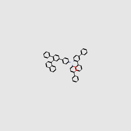 c1ccc(-c2ccc(N(c3ccc(-c4ccc(-c5ccccc5)c(-c5cccc6ccccc56)c4)cc3)c3ccc(-c4ccccc4)cc3-c3ccccc3)cc2)cc1